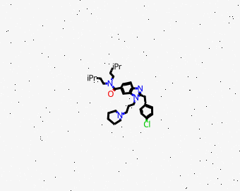 CC(C)CCN(CCC(C)C)C(=O)c1ccc2nc(Cc3ccc(Cl)cc3)n(CCCN3CCCCC3)c2c1